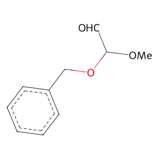 COC(C=O)OCc1ccccc1